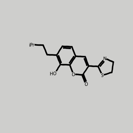 CC(C)CCc1ccc2cc(C3=NCCS3)c(=O)oc2c1O